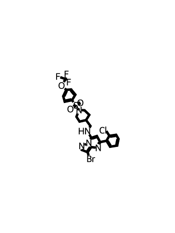 O=S(=O)(c1ccc(OC(F)(F)F)cc1)N1CCC(CNc2cc(-c3ccccc3Cl)nc3c(Br)cnn23)CC1